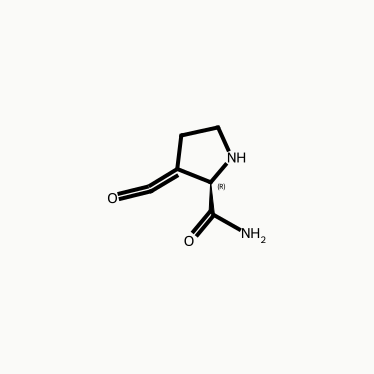 NC(=O)[C@@H]1NCCC1=C=O